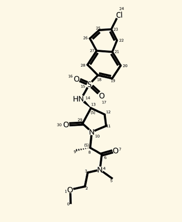 COCCN(C)C(=O)[C@H](C)N1CC[C@H](NS(=O)(=O)c2ccc3cc(Cl)ccc3c2)C1=O